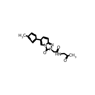 CC(=O)CNC(=O)Cn1nc2ccc(-c3ccc(C)cc3)cn2c1=O